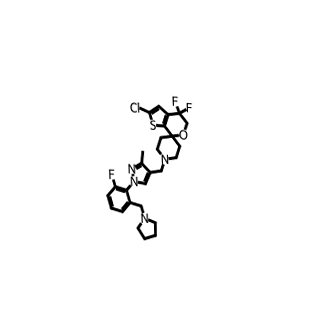 Cc1nn(-c2c(F)cccc2CN2CCCC2)cc1CN1CCC2(CC1)OCC(F)(F)c1cc(Cl)sc12